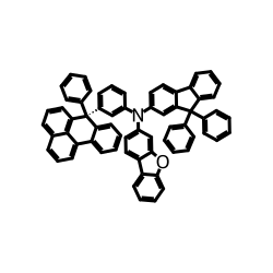 c1ccc(C2(c3ccccc3)c3ccccc3-c3ccc(N(c4cccc([C@]5(c6ccccc6)c6ccccc6-c6cccc7cccc5c67)c4)c4ccc5c(c4)oc4ccccc45)cc32)cc1